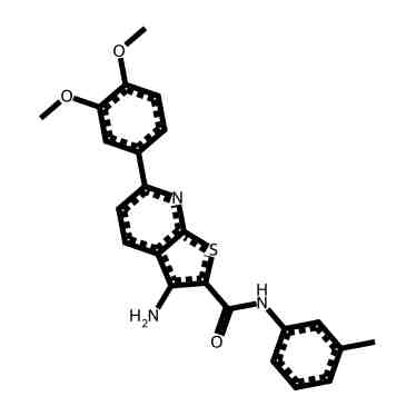 COc1ccc(-c2ccc3c(N)c(C(=O)Nc4cccc(C)c4)sc3n2)cc1OC